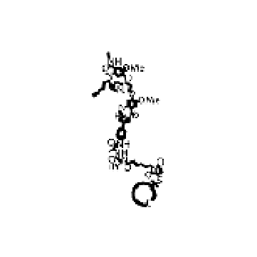 C=CCCCC(N1CCN(C)CC1)N(C)c1cc(OCCCOc2cc3c(cc2OC)C(=O)N2C=C(c4ccc(NC(=O)[C@H](C)NC(=O)[C@@H](NC(=O)CCCCCN5C(=O)CC(SC(C)(C)c6ccccccccccccc6)C5=O)C(C)C)cc4)C[C@H]2C=N3)c(OC)cc1C(=O)NC=C